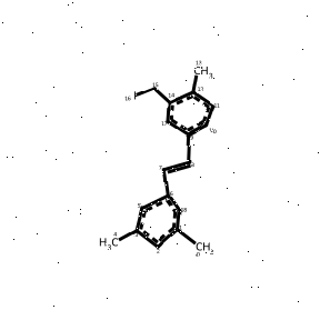 Cc1cc(C)cc(/C=C/c2ccc(C)c(CI)c2)c1